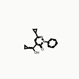 O=c1c(C(O)=C2CC2)cc(C2CC2)nn1-c1ccccc1